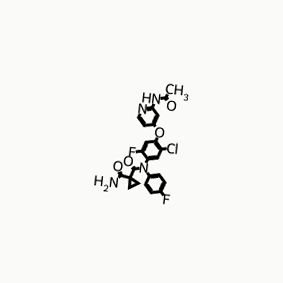 CC(=O)Nc1cc(Oc2cc(F)c(N(C(=O)C3(C(N)=O)CC3)c3ccc(F)cc3)cc2Cl)ccn1